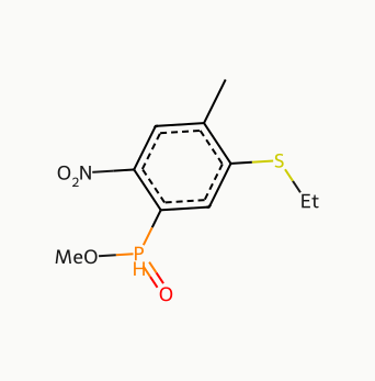 CCSc1cc([PH](=O)OC)c([N+](=O)[O-])cc1C